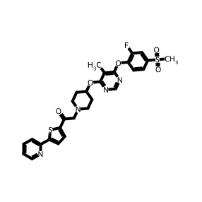 Cc1c(Oc2ccc(S(C)(=O)=O)cc2F)ncnc1OC1CCN(CC(=O)c2ccc(-c3ccccn3)s2)CC1